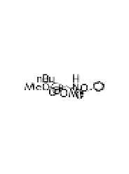 CCCCC(CP(=O)(CCNC(=O)OCc1ccccc1)OC)C(=O)OC